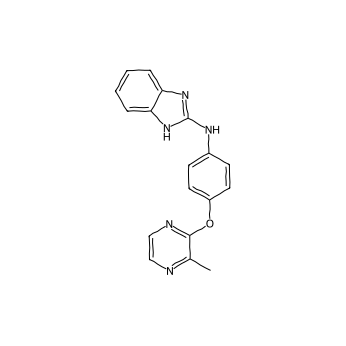 Cc1nccnc1Oc1ccc(Nc2nc3ccccc3[nH]2)cc1